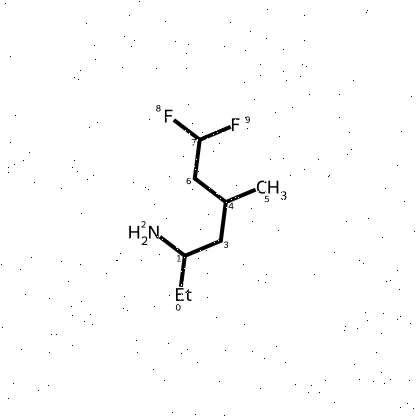 CCC(N)CC(C)CC(F)F